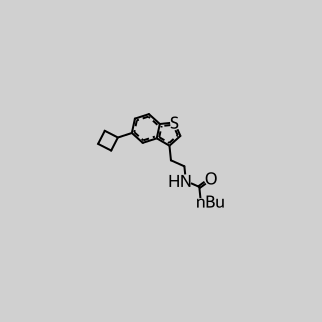 CCCCC(=O)NCCc1csc2ccc(C3CCC3)cc12